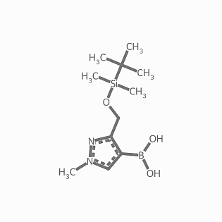 Cn1cc(B(O)O)c(CO[Si](C)(C)C(C)(C)C)n1